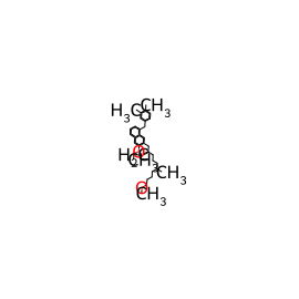 C=C(CCCC(C)CCCCOC)Cc1cc2c(Cc3ccc(C)c(C)c3)cccc2cc1OCC